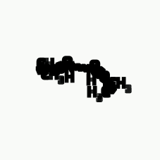 CC1CCC(C)N1CCCOc1ccc(C(=O)NCCCCCCCNC(=O)c2ccc(OCCCN3C(C)CCC3C)cc2)cc1